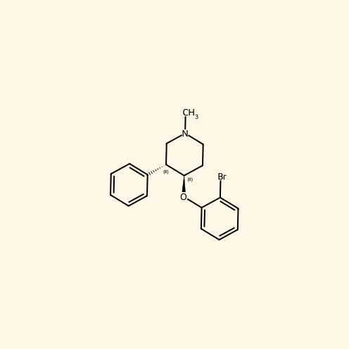 CN1CC[C@@H](Oc2ccccc2Br)[C@H](c2ccccc2)C1